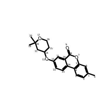 Cc1ccc2c(c1)oc(=O)c1cc(OC3CCOC(C)(C)C3)ccc12